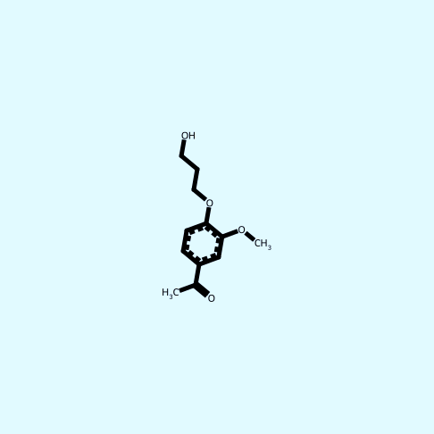 COc1cc(C(C)=O)ccc1OCCCO